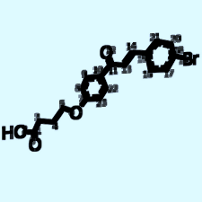 O=C(O)CCCOc1ccc(C(=O)/C=C/c2ccc(Br)cc2)cc1